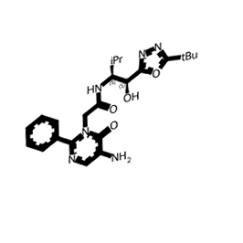 CC(C)[C@H](NC(=O)Cn1c(-c2ccccc2)ncc(N)c1=O)[C@H](O)c1nnc(C(C)(C)C)o1